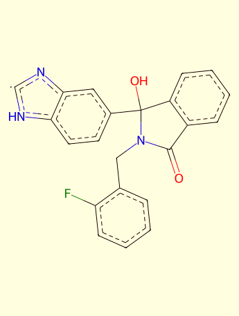 O=C1c2ccccc2C(O)(c2ccc3[nH][c]nc3c2)N1Cc1ccccc1F